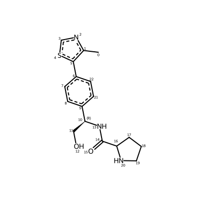 Cc1ncsc1-c1ccc([C@H](CO)NC(=O)C2CCCN2)cc1